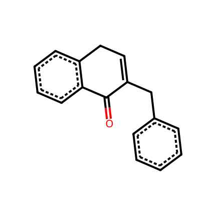 O=C1C(Cc2ccccc2)=CCc2ccccc21